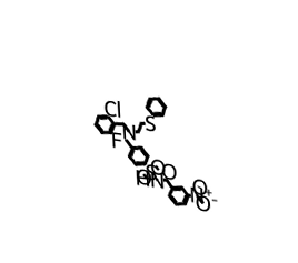 O=C(NS(=O)(=O)c1ccc(CN(CCSc2ccccc2)Cc2c(F)cccc2Cl)cc1)c1cccc([N+](=O)[O-])c1